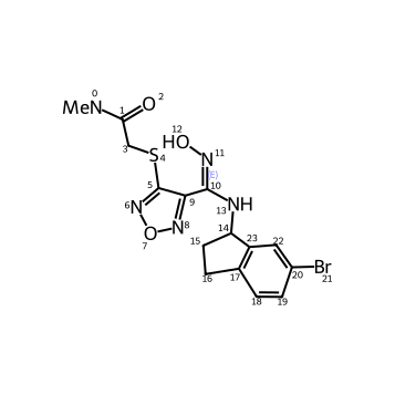 CNC(=O)CSc1nonc1/C(=N\O)NC1CCc2ccc(Br)cc21